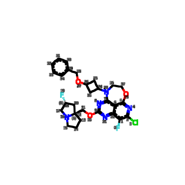 Fc1c(Cl)nc2c3c(nc(OC[C@@]45CCCN4C[C@H](F)C5)nc13)N(C1CC(OCc3ccccc3)C1)CCO2